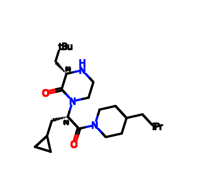 CC(C)CC1CCN(C(=O)[C@H](CC2CC2)N2CCN[C@@H](CC(C)(C)C)C2=O)CC1